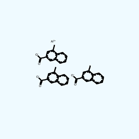 Cc1cc(C(=O)[O-])cc2ccccc12.Cc1cc(C(=O)[O-])cc2ccccc12.Cc1cc(C(=O)[O-])cc2ccccc12.[Al+3]